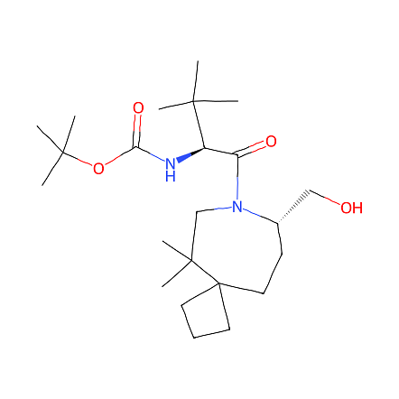 CC(C)(C)OC(=O)N[C@H](C(=O)N1CC(C)(C)C2(CCC2)CC[C@H]1CO)C(C)(C)C